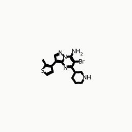 Cc1sccc1-c1cnn2c(N)c(Br)c(C3CCCNC3)nc12